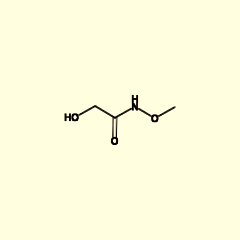 CONC(=O)CO